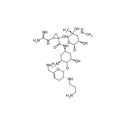 CN[C@@H]1[C@@H](O)[C@@H](O[C@H]2[C@H](NC(=O)C3(O)CC3NC(=N)N)C[C@H](N)C(O[C@H]3OC(CN)=CC[C@H]3NCCCN)[C@@H]2O)OC[C@]1(C)O